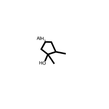 CC1CCCC1(C)O.[AlH3]